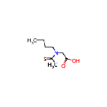 CCCCN(CC(=O)O)C(C)=S